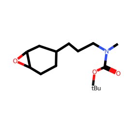 CN(CCCC1CCC2OC2C1)C(=O)OC(C)(C)C